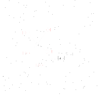 O=S(=O)(O)O.O[Si](O)(O)O.[AlH3].[NaH]